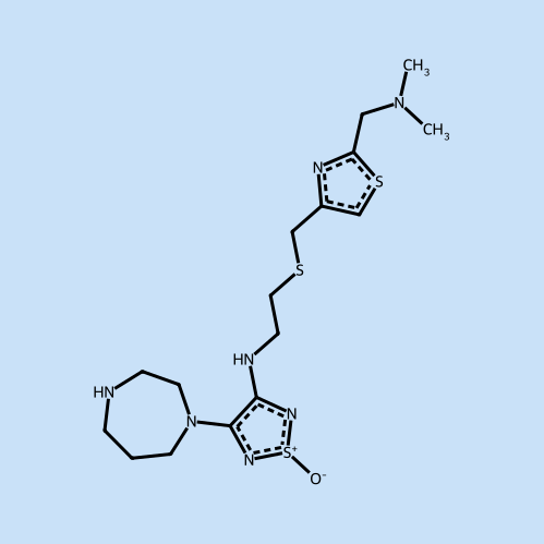 CN(C)Cc1nc(CSCCNc2n[s+]([O-])nc2N2CCCNCC2)cs1